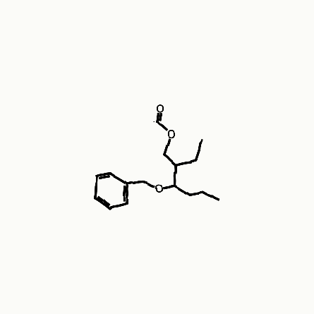 CCCC(OCc1ccccc1)C(CC)CO[C]=O